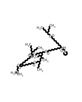 CCCCCC(CCCCC)CCOC(=O)CCCCCCCCC(CCCCCCCCC(=O)OCCC(CCCCC)CC(CCC)C(CC)CCC(CCCCC)CCOC(=O)CCCCCCCCC1(CCCCCCCCC(=O)OCCC(CCCCC)CCCCC)OCC(CCN(C)C)O1)NC(=O)CN1CCCCC1